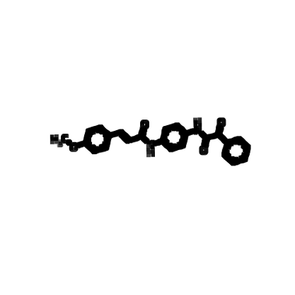 COc1ccc(C=CC(=O)Nc2ccc(NC(=O)C(=O)c3ccccc3)cc2)cc1